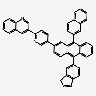 C1=Cc2ccc(-c3c4ccccc4c(-c4ccc5ccccc5c4)c4cc(-c5ccc(-c6cnc7ccccc7c6)nc5)ccc34)cc2C1